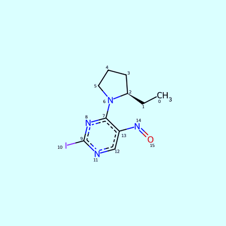 CC[C@@H]1CCCN1c1nc(I)ncc1N=O